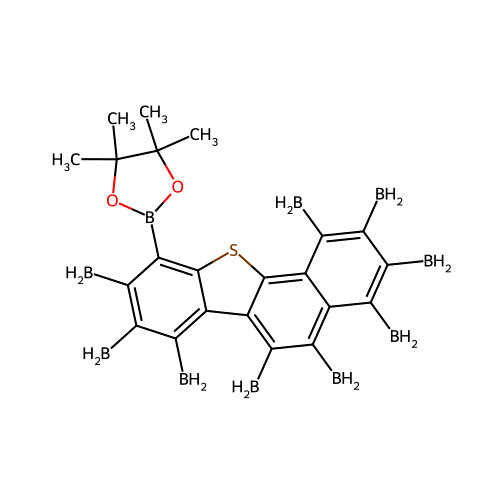 Bc1c(B)c(B)c2c(sc3c4c(B)c(B)c(B)c(B)c4c(B)c(B)c32)c1B1OC(C)(C)C(C)(C)O1